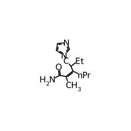 CCCC(=C(C)C(N)=O)C(CC)Cn1ccnc1